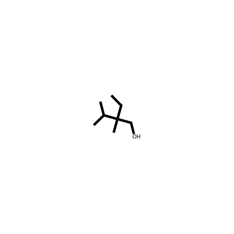 CCC(C)(CO)C(C)C